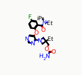 CCN(C(=O)c1cc(F)ccc1Oc1cncnc1N1CC(CC)(COC(N)=O)C1)C(C)C